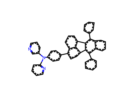 c1ccc(-c2c3c(c(-c4ccccc4)c4ccccc24)-c2ccc(-c4ccc(N(c5cccnc5)c5ccccn5)cc4)c4cccc-3c24)cc1